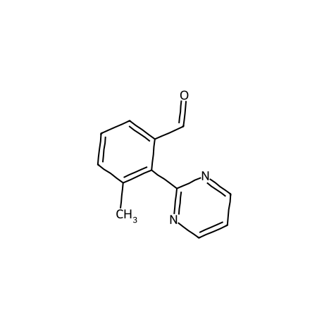 Cc1cccc(C=O)c1-c1ncccn1